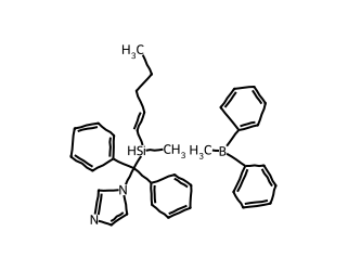 CB(c1ccccc1)c1ccccc1.CCCC=C[SiH](C)C(c1ccccc1)(c1ccccc1)n1ccnc1